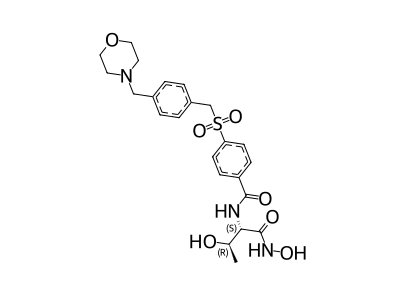 C[C@@H](O)[C@H](NC(=O)c1ccc(S(=O)(=O)Cc2ccc(CN3CCOCC3)cc2)cc1)C(=O)NO